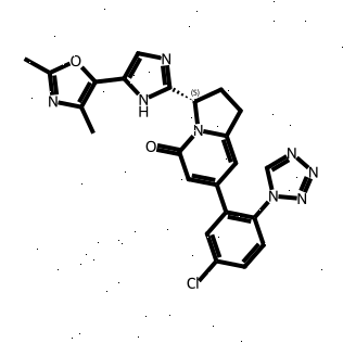 Cc1nc(C)c(-c2cnc([C@@H]3CCc4cc(-c5cc(Cl)ccc5-n5cnnn5)cc(=O)n43)[nH]2)o1